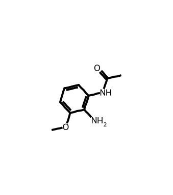 COc1cccc(NC(C)=O)c1N